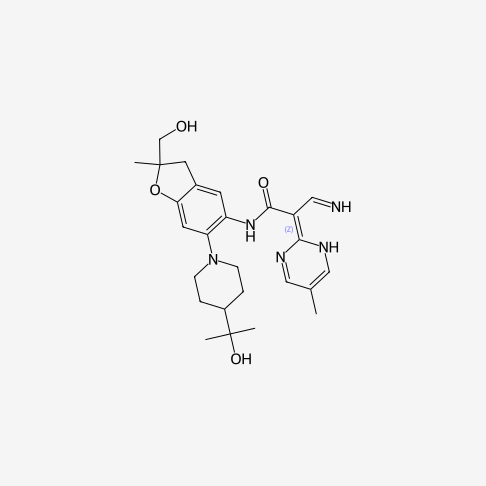 CC1=CN/C(=C(\C=N)C(=O)Nc2cc3c(cc2N2CCC(C(C)(C)O)CC2)OC(C)(CO)C3)N=C1